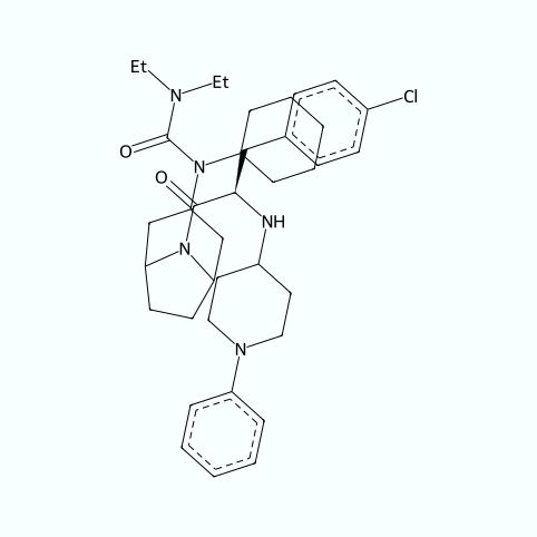 CCN(CC)C(=O)N(C1CCCCC1)C1CC2CCC(C1)N2C(=O)[C@@H](Cc1ccc(Cl)cc1)NC1CCN(c2ccccc2)CC1